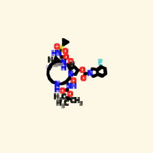 CC(C)(C)OC(=O)N[C@H]1CNCCC/C=C\[C@@H]2C[C@@]2(C(=O)NS(=O)(=O)C2CC2)NC(=O)[C@@H]2CC(OC(=O)N3Cc4cccc(F)c4C3)CN2C1=O